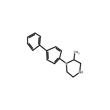 CC1CNCCN1c1ccc(-c2ccccc2)cc1